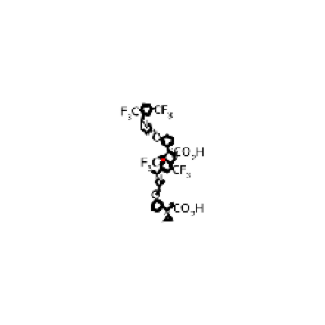 CC(c1cc(C(F)(F)F)c(C[C@H](C(=O)O)[C@H](c2cccc(OC[C@@H]3CCN(Cc4cc(C(F)(F)F)ccc4C(F)(F)F)C3)c2)C2CC2)cc1C(F)(F)F)N1CC(COc2cccc([C@H](C3CC3)[C@H](C)C(=O)O)c2)C1